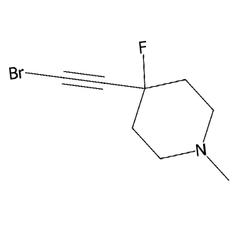 CN1CCC(F)(C#CBr)CC1